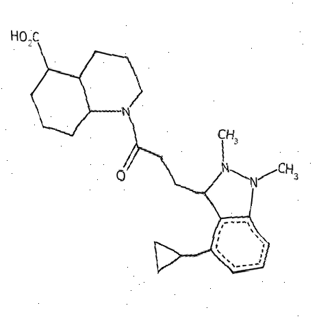 CN1c2cccc(C3CC3)c2C(CCC(=O)N2CCCC3C(C(=O)O)CCCC32)N1C